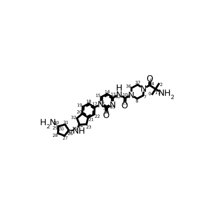 CC(C)(N)C(=O)N1CCN(C(=O)Nc2ccn(-c3ccc4c(c3)CC(N[C@H]3CC[C@H](N)C3)C4)c(=O)n2)CC1